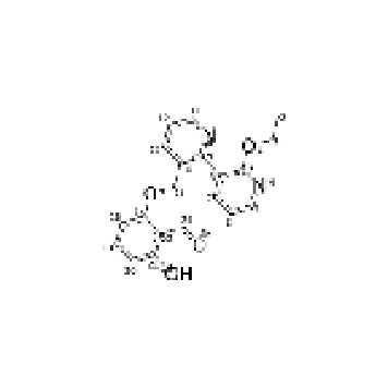 CCOc1ncccc1-c1ncccc1COc1cccc(O)c1C=O